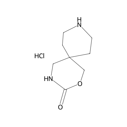 Cl.O=C1NCC2(CCNCC2)CO1